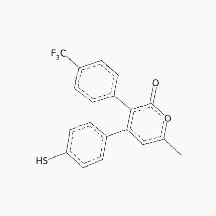 Cc1cc(-c2ccc(S)cc2)c(-c2ccc(C(F)(F)F)cc2)c(=O)o1